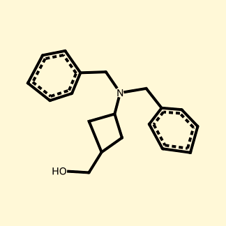 OCC1CC(N(Cc2ccccc2)Cc2ccccc2)C1